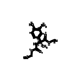 CC(C)(C)COC(=O)N[C@](C)(C(=O)OC(C)(C)C)c1ccc(O)c(N)c1